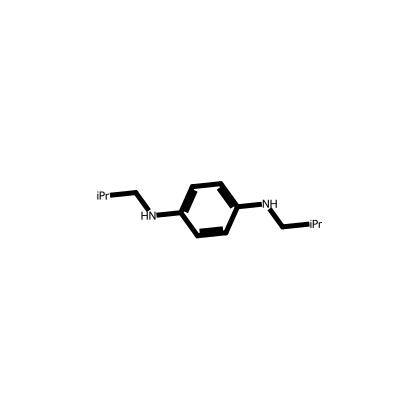 CC(C)CNc1ccc(NCC(C)C)cc1